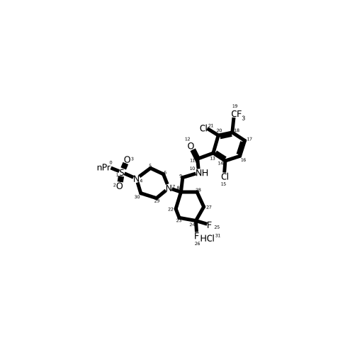 CCCS(=O)(=O)N1CCN(C2(CNC(=O)c3c(Cl)ccc(C(F)(F)F)c3Cl)CCC(F)(F)CC2)CC1.Cl